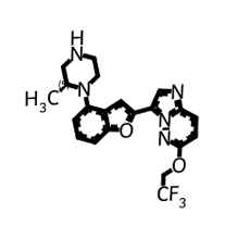 C[C@H]1CNCCN1c1cccc2oc(-c3cnc4ccc(OCC(F)(F)F)nn34)cc12